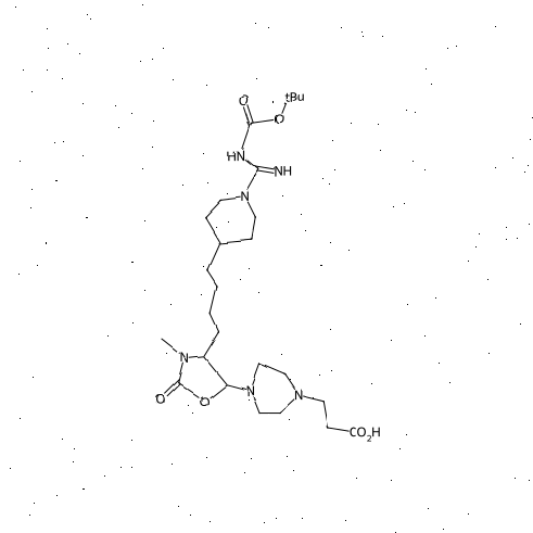 CN1C(=O)OC(N2CCN(CCC(=O)O)CC2)C1CCCCC1CCN(C(=N)NC(=O)OC(C)(C)C)CC1